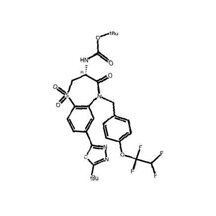 CC(C)(C)OC(=O)N[C@H]1CS(=O)(=O)c2ccc(-c3nnc(C(C)(C)C)o3)cc2N(Cc2ccc(OC(F)(F)C(F)F)cc2)C1=O